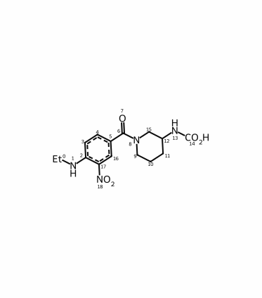 CCNc1ccc(C(=O)N2CCCC(NC(=O)O)C2)cc1[N+](=O)[O-]